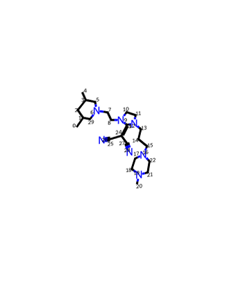 CC1CC(C)CN(CCN2CCN(CCCN3CCN(C)CC3)C2=C(C#N)C#N)C1